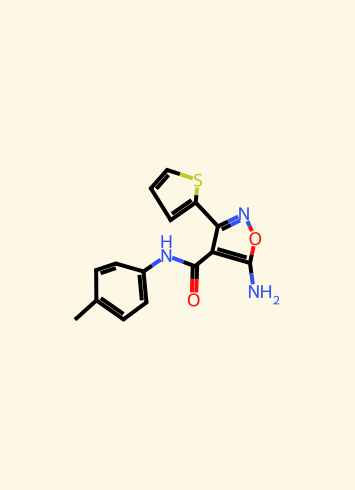 Cc1ccc(NC(=O)c2c(-c3cccs3)noc2N)cc1